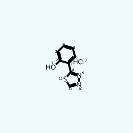 Cl.Oc1ccccc1-c1nncs1